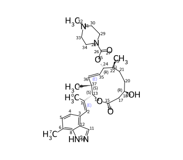 C/C(=C\c1ccc(C)c2[nH]ncc12)[C@H]1OC(=O)C[C@H](O)CC[C@H](C)[C@@H](OC(=O)N2CCN(C)CC2)/C=C/[C@@H]1C